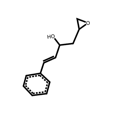 OC(C=Cc1ccccc1)CC1CO1